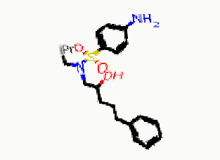 CC(C)CN(CC(O)[CH]CCc1ccccc1)S(=O)(=O)c1ccc(N)cc1